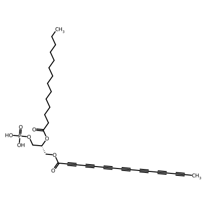 CC#CC#CC#CC#CC#CC#CC#CC(=O)OC[C@H](COP(=O)(O)O)OC(=O)CCCCCCCCCCCCC